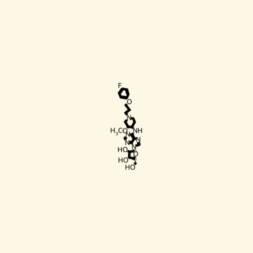 COC1CN(CCCOc2ccc(F)cc2)CCC1Nc1ncnc2c1ncn2[C@@H]1O[C@H](CO)C(O)C1O